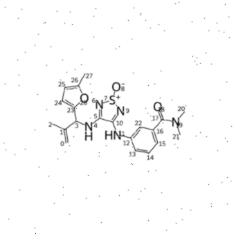 C=C(C)C(Nc1n[s+]([O-])nc1Nc1cccc(C(=O)N(C)C)c1)c1ccc(C)o1